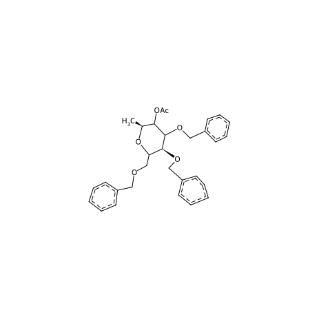 CC(=O)OC1C(OCc2ccccc2)[C@@H](OCc2ccccc2)C(COCc2ccccc2)O[C@H]1C